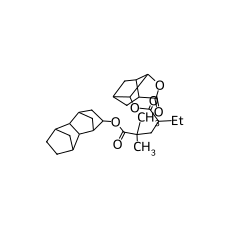 CCC(CC(C)(C)C(=O)OC1CC2CC1C1C3CCC(C3)C21)C(=O)OC1C2CC3C(=O)OC1C3C2